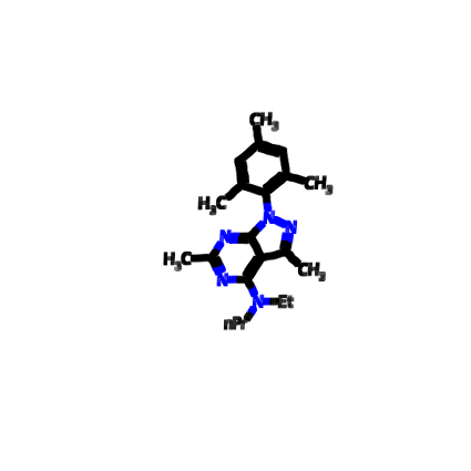 CCCN(CC)c1nc(C)nc2c1c(C)nn2-c1c(C)cc(C)cc1C